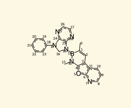 CC1=Cc2c(oc3ncccc23)N(C)B1N1CN(c2ccccc2)c2nccnc21